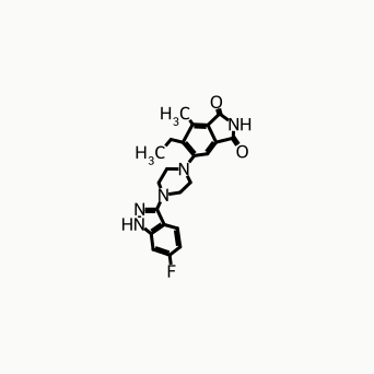 CCc1c(N2CCN(c3n[nH]c4cc(F)ccc34)CC2)cc2c(c1C)C(=O)NC2=O